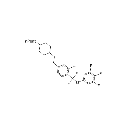 CCCCCC1CCC(CCc2ccc(C(F)(F)Oc3cc(F)c(F)c(F)c3)c(F)c2)CC1